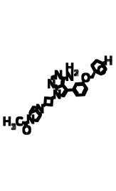 CC(=O)N1CC2CC1CN2C1CC(n2cc(-c3cccc(OC[C@]45CC[C@H](CC4)O5)c3)c3c(N)ncnc32)C1